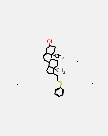 CC12CCC(O)CC1=CCC1C2CCC2(C)C(CCSc3ccccc3)CCC12